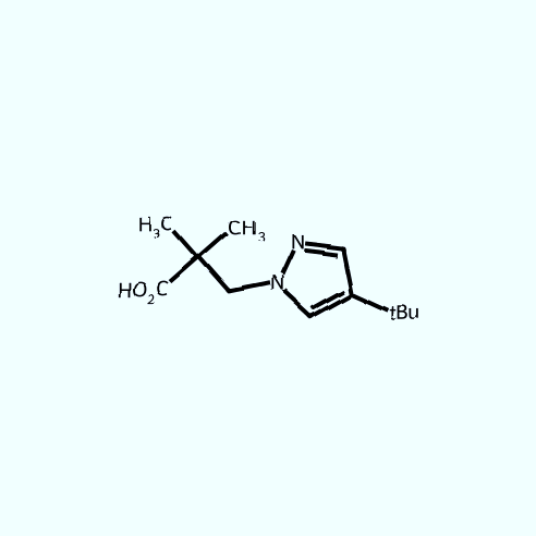 CC(C)(Cn1cc(C(C)(C)C)cn1)C(=O)O